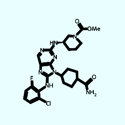 COC(=O)N1CCC[C@@H](Nc2ncc3nc(Nc4c(F)cccc4Cl)n(C4CCC(C(N)=O)CC4)c3n2)C1